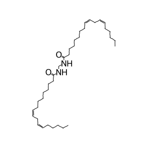 CCCCC/C=C\C/C=C\CCCCCCCC(=O)NCNC(=O)CCCCCCC/C=C\C/C=C\CCCCC